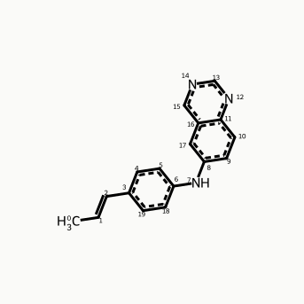 C/C=C/c1ccc(Nc2ccc3ncncc3c2)cc1